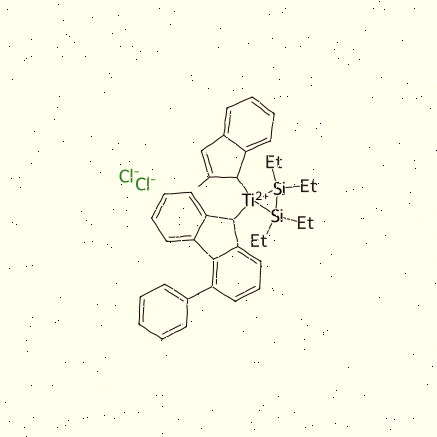 CC[Si]1(CC)[Si](CC)(CC)[Ti+2]1([CH]1C(C)=Cc2ccccc21)[CH]1c2ccccc2-c2c(-c3ccccc3)cccc21.[Cl-].[Cl-]